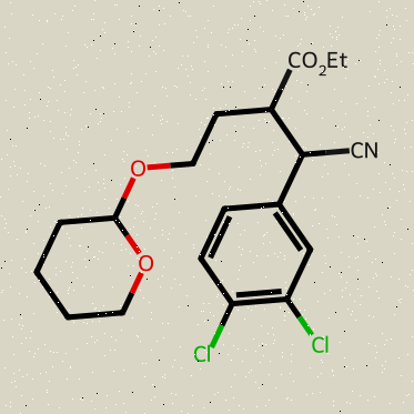 CCOC(=O)C(CCOC1CCCCO1)C(C#N)c1ccc(Cl)c(Cl)c1